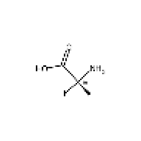 C[C@@](N)(I)C(=O)O